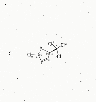 Cl[C@H]1C=C[C@H](C(Cl)(Cl)Cl)C1